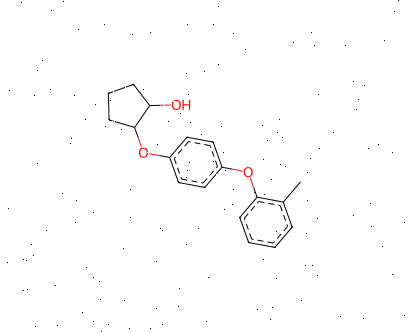 Cc1ccccc1Oc1ccc(OC2CCCC2O)cc1